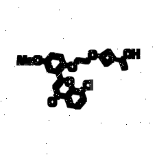 C=C(O)[C@H]1C[C@@H](OCCOc2ccc(OC)cc2-c2cc(=O)c3cccc(Cl)c3o2)C1